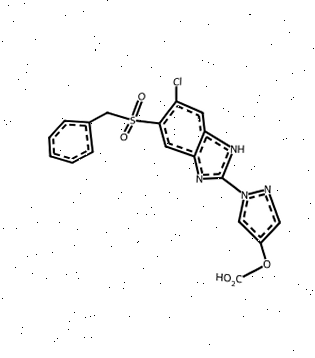 O=C(O)Oc1cnn(-c2nc3cc(S(=O)(=O)Cc4ccccc4)c(Cl)cc3[nH]2)c1